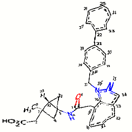 C[C@@]1(CC(=O)O)CC2(NC(=O)c3cccc4cnn(Cc5ccc(-c6ccccc6)cc5)c34)C[C@H]21